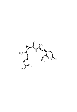 C=C\N=C/C(=C/C=C(\C)NC(=O)C1CC1C(C)/C=C\C=C/C(C)C)C(=C)C=C